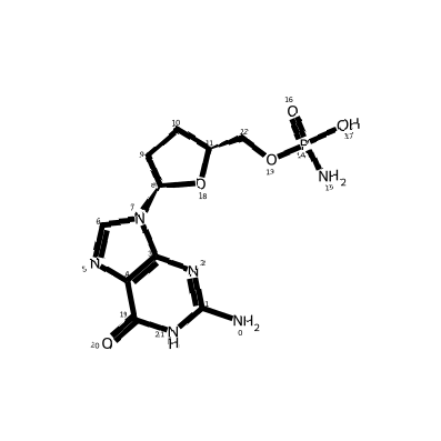 Nc1nc2c(ncn2[C@H]2CC[C@@H](COP(N)(=O)O)O2)c(=O)[nH]1